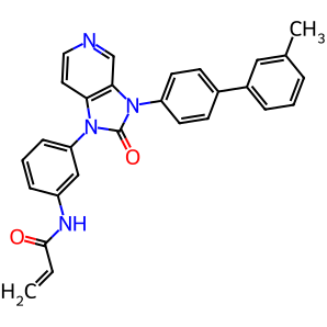 C=CC(=O)Nc1cccc(-n2c(=O)n(-c3ccc(-c4cccc(C)c4)cc3)c3cnccc32)c1